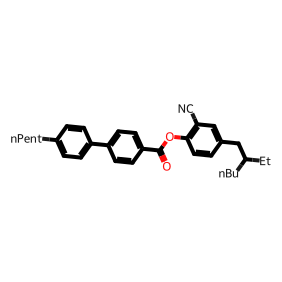 CCCCCc1ccc(-c2ccc(C(=O)Oc3ccc(CC(CC)CCCC)cc3C#N)cc2)cc1